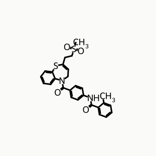 Cc1ccccc1C(=O)Nc1ccc(C(=O)N2CC=C(CCS(C)(=O)=O)Sc3ccccc32)cc1